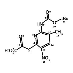 CCOC(=O)C(=O)Cc1nc(NC(=O)OC(C)(C)C)c(C)cc1[N+](=O)[O-]